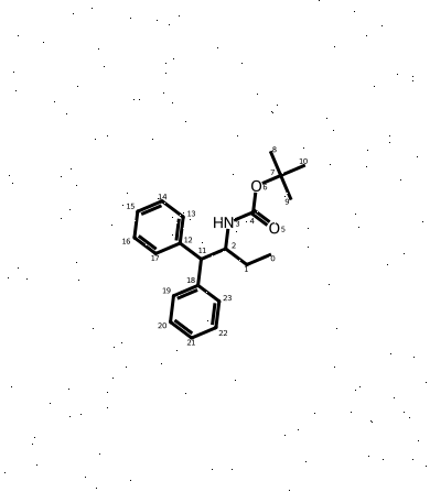 CCC(NC(=O)OC(C)(C)C)C(c1ccccc1)c1ccccc1